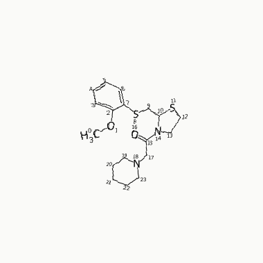 COc1ccccc1SCC1SCCN1C(=O)CN1CCCCC1